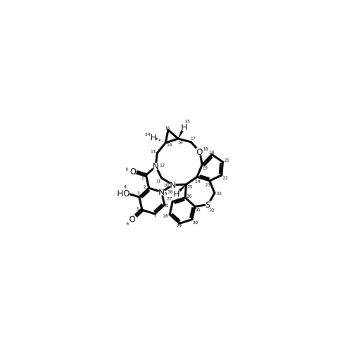 O=C1c2c(O)c(=O)ccn2N2CN1C[C@H]1C[C@@H]1COc1cccc3c1[C@@H]2c1ccccc1SC3